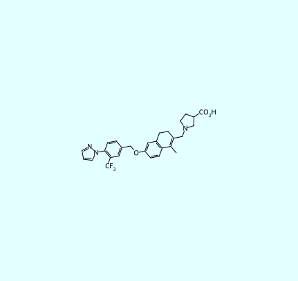 CC1=C(CN2CCC(C(=O)O)C2)CCc2cc(OCc3ccc(-n4cccn4)c(C(F)(F)F)c3)ccc21